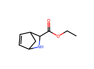 CCOC(=O)C1NC2C=CC1C2